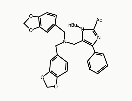 CCCCn1c(C(C)=O)nc(-c2ccccc2)c1CN(Cc1ccc2c(c1)OCO2)Cc1ccc2c(c1)OCO2